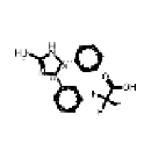 NC1=N[C@H](c2ccccc2)[C@@H](c2ccccc2)N1.O=C(O)C(F)(F)F